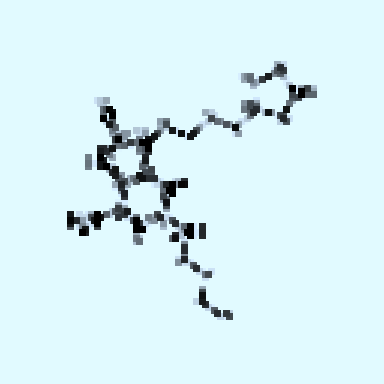 CCCCNc1nc(N)c2[nH]c(=O)n(CCCCC3CCOC3)c2n1